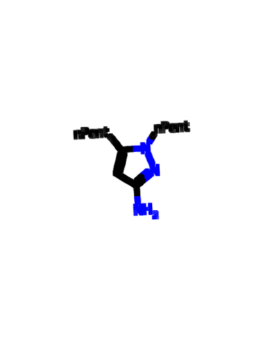 CCCCCc1cc(N)nn1CCCCC